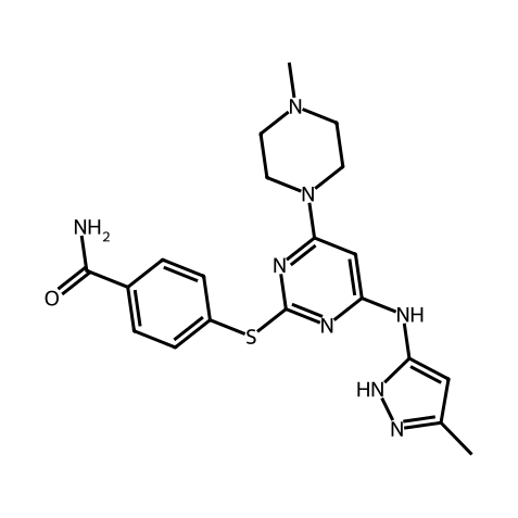 Cc1cc(Nc2cc(N3CCN(C)CC3)nc(Sc3ccc(C(N)=O)cc3)n2)[nH]n1